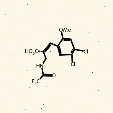 COc1cc(Cl)c(Cl)cc1C=C(CNC(=O)C(F)(F)F)C(=O)O